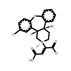 C[N@@+]1(/C(=C\C(=O)O)C(=O)[O-])CC[C@@]2(O)c3ccccc3Oc3ccc(Cl)cc3[C@H]2C1